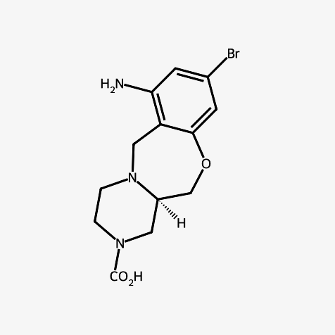 Nc1cc(Br)cc2c1CN1CCN(C(=O)O)C[C@@H]1CO2